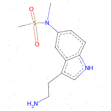 CN(c1ccc2[nH]cc(CCN)c2c1)S(C)(=O)=O